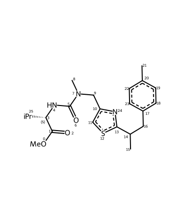 COC(=O)[C@@H](NC(=O)N(C)Cc1csc(C(C)Cc2ccc(C)cc2)n1)C(C)C